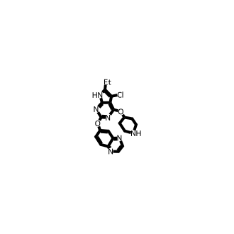 CCc1[nH]c2nc(Oc3ccc4nccnc4c3)nc(OC3CCNCC3)c2c1Cl